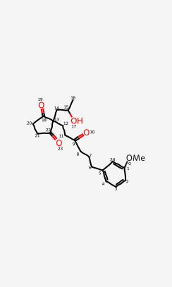 COc1cccc(CCCC(=O)CCC2(CC(C)O)C(=O)CCC2=O)c1